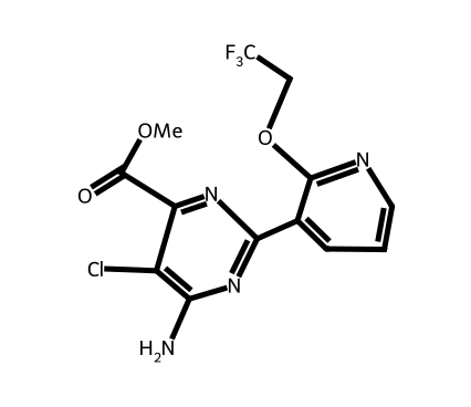 COC(=O)c1nc(-c2cccnc2OCC(F)(F)F)nc(N)c1Cl